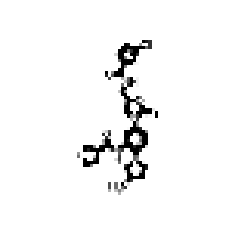 NC1CCN(c2ccc(N3CC(CNC(=O)c4ccc(Cl)s4)OC3=O)cc2NC(=O)C2CCOC2)C1